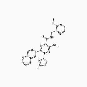 COc1cccnc1CNC(=O)c1nc(-c2ccc3ncccc3c2)c(-c2ccn(C)n2)nc1N